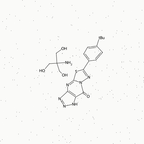 CC(C)(C)c1ccc(-c2nn3c(=O)c4[nH]nnc4nc3s2)cc1.NC(CO)(CO)CO